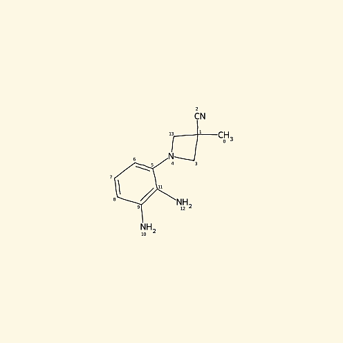 CC1(C#N)CN(c2cccc(N)c2N)C1